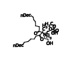 CCCCCCCCCCCCCCCC(=O)C(C)(C(=O)CCCCCCCCCCCCCCC)N(C)CCO.COS(=O)(=O)O